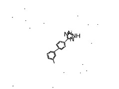 Cc1cccc(-c2ccc(-c3nn[nH]n3)cc2)c1